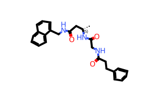 C[C@@H](CC(=O)NCc1cccc2ccccc12)NC(=O)CNC(=O)CCc1ccccc1